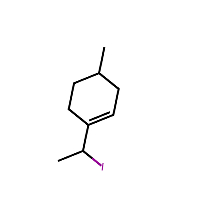 CC1CC=C(C(C)I)CC1